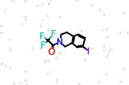 O=C(N1CCc2ccc(I)cc2C1)C(F)(F)F